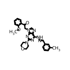 COc1ccccc1C(=O)Cn1cnc2c(NN=Cc3cccc(C)c3)nc(N3CCOCC3)nc21